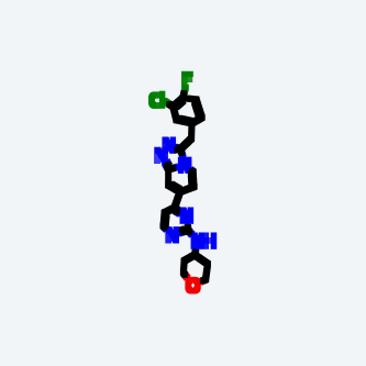 Fc1ccc(Cc2nnc3cc(-c4ccnc(NC5CCOCC5)n4)ccn23)cc1Cl